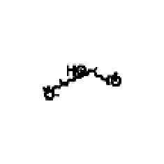 CC(=O)CC(C)CCCC(C)C/C=C(O)/C=C(C)/C=C/C=C(C)/C=C/C1=C(C)CCCC1(C)C